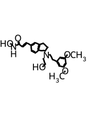 COc1cc(CCN(CCO)C2CCc3cc(/C=C/C(=O)NO)ccc32)cc(OC)c1